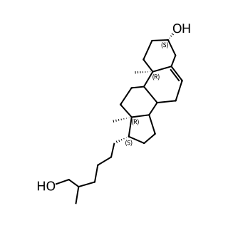 CC(CO)CCCC[C@H]1CCC2C3CC=C4C[C@@H](O)CC[C@]4(C)C3CC[C@@]21C